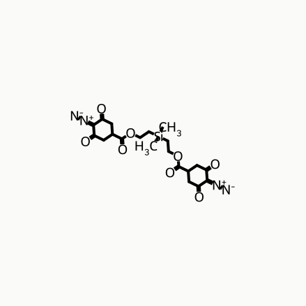 C[Si](C)(CCOC(=O)C1CC(=O)C(=[N+]=[N-])C(=O)C1)CCOC(=O)C1CC(=O)C(=[N+]=[N-])C(=O)C1